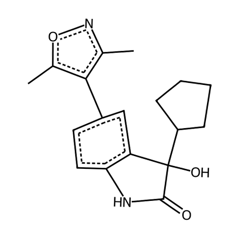 Cc1noc(C)c1-c1ccc2c(c1)C(O)(C1CCCC1)C(=O)N2